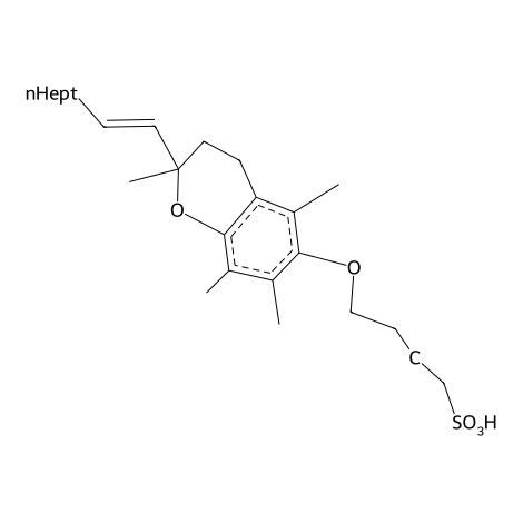 CCCCCCC/C=C/C1(C)CCc2c(C)c(OCCCCS(=O)(=O)O)c(C)c(C)c2O1